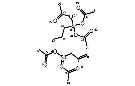 C=CC[SiH](OC(C)=O)OC(C)=O.CCC[Si](OC(C)=O)(OC(C)=O)OC(C)=O